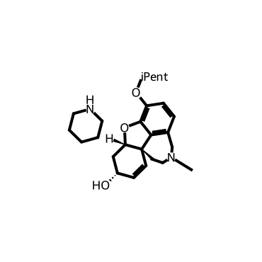 C1CCNCC1.CCCC(C)Oc1ccc2c3c1O[C@H]1C[C@@H](O)C=C[C@@]31CCN(C)C2